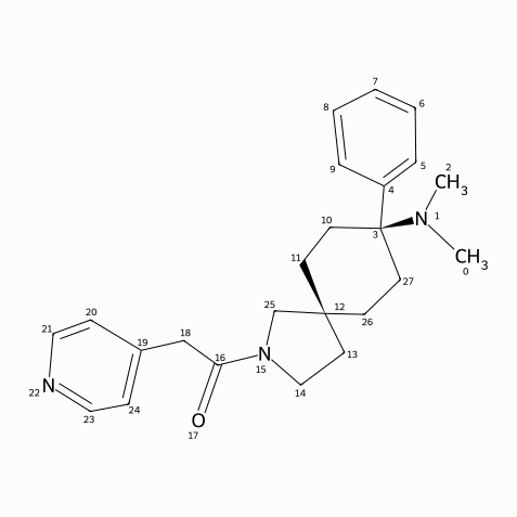 CN(C)[C@]1(c2ccccc2)CC[C@]2(CCN(C(=O)Cc3ccncc3)C2)CC1